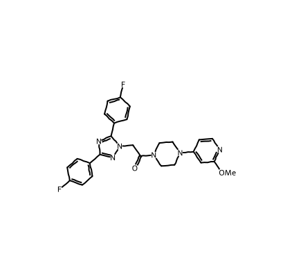 COc1cc(N2CCN(C(=O)Cn3nc(-c4ccc(F)cc4)nc3-c3ccc(F)cc3)CC2)ccn1